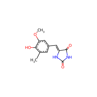 COc1cc(/C=C2\NC(=O)NC2=O)cc(C)c1O